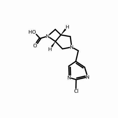 O=C(O)N1C[C@@H]2CN(Cc3cnc(Cl)nc3)C[C@@H]21